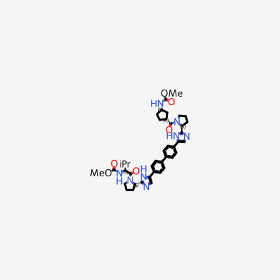 COC(=O)N[C@H]1CC[C@@H](C(=O)N2CCC[C@H]2c2ncc(-c3ccc(-c4ccc(-c5cnc([C@@H]6CCCN6C(=O)[C@@H](NC(=O)OC)C(C)C)[nH]5)cc4)cc3)[nH]2)C1